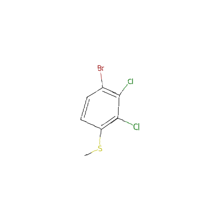 CSc1ccc(Br)c(Cl)c1Cl